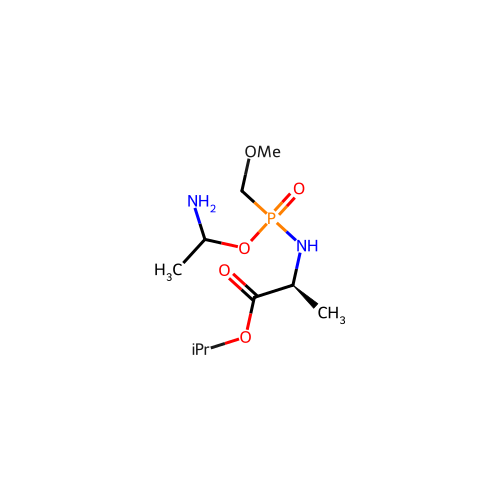 COCP(=O)(N[C@@H](C)C(=O)OC(C)C)OC(C)N